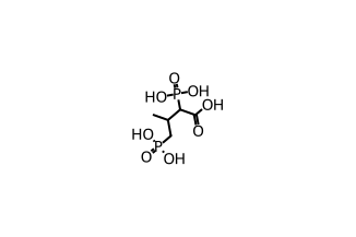 CC(CP(=O)(O)O)C(C(=O)O)P(=O)(O)O